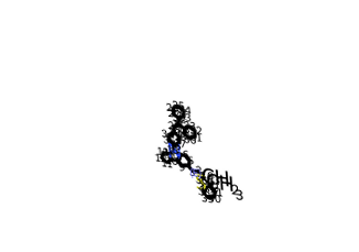 C=C(/C=C/c1ccc2c(c1)C1CCCC1N2c1ccc(C=C(c2ccccc2)c2ccccc2)cc1)Sc1ccccc1C